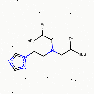 CCCCC(CC)CN(CCn1cncn1)CC(CC)CCCC